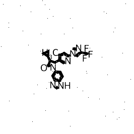 Cc1cc(-n2cnc(C(F)(F)F)c2)ncc1C1C(C2CC2)C(=O)N1c1ccc2[nH]cnc2c1